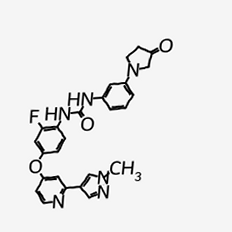 Cn1cc(-c2cc(Oc3ccc(NC(=O)Nc4cccc(N5CCC(=O)C5)c4)c(F)c3)ccn2)cn1